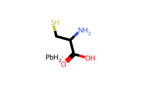 NC(CS)C(=O)O.[PbH2]